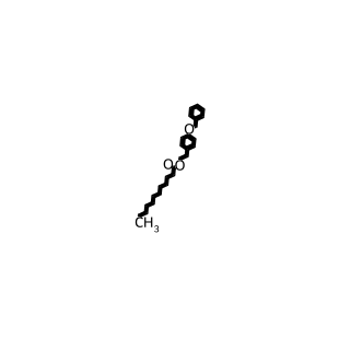 CCCCCCCCCCCC(=O)OCCc1ccc(OCc2ccccc2)cc1